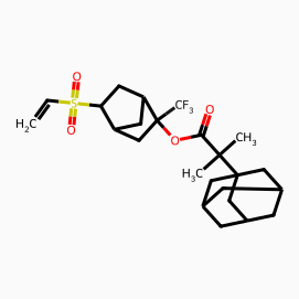 C=CS(=O)(=O)C1CC2CC1CC2(OC(=O)C(C)(C)C12CC3CC(CC(C3)C1)C2)C(F)(F)F